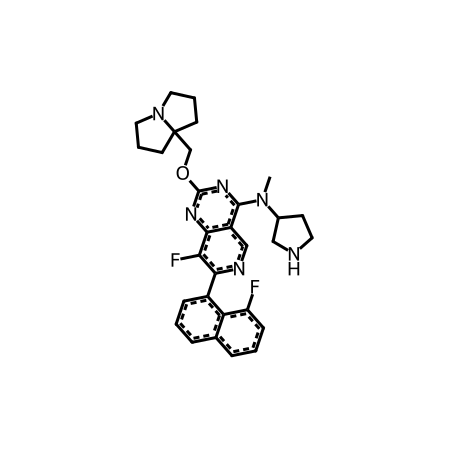 CN(c1nc(OCC23CCCN2CCC3)nc2c(F)c(-c3cccc4cccc(F)c34)ncc12)C1CCNC1